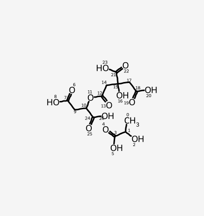 CC(O)C(=O)O.O=C(O)CC(OC(=O)CC(O)(CC(=O)O)C(=O)O)C(=O)O